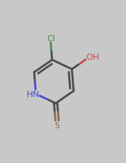 Oc1cc(=S)[nH]cc1Cl